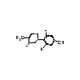 CC1=CCC(c2c(F)cc(O)cc2F)C=C1F